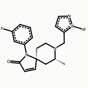 CCCn1nccc1CN1CC[C@@]2(C=CC(=O)N2c2cccc(F)c2)C[C@H]1C